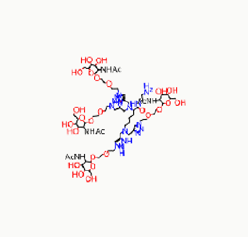 CC(=O)NC1C(OCCOCCN2C=C(CN(CCCCC(C(=O)NCCN)N(Cc3cn(CCOCCOC4OC(CO)C(O)C(O)C4NC(C)=O)nn3)Cc3cn(CCOCCOC4OC(CO)C(O)C(O)C4NC(C)=O)nn3)Cc3cn(CCOCCOC4OC(CO)C(O)C(O)C4NC(C)=O)nn3)NN2)OC(CO)C(O)C1O